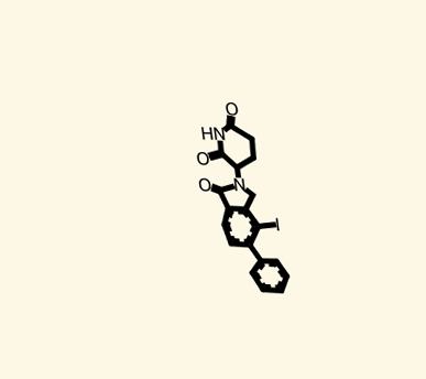 O=C1CCC(N2Cc3c(ccc(-c4ccccc4)c3I)C2=O)C(=O)N1